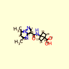 Cc1cc(C)n2ncc(C(=O)NC34CCC3(C(=O)O)CC4)c2n1